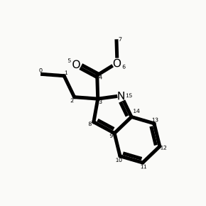 CCCC1(C(=O)OC)C=c2ccccc2=N1